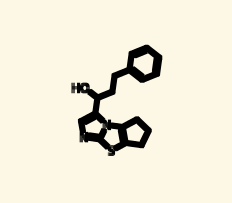 OC(CCc1ccccc1)c1cnc2sc3c(n12)CCC3